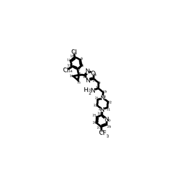 NC(Cc1nc(C2(c3ccc(Cl)cc3Cl)CC2)no1)CN1CCN(c2ccc(C(F)(F)F)cn2)CC1